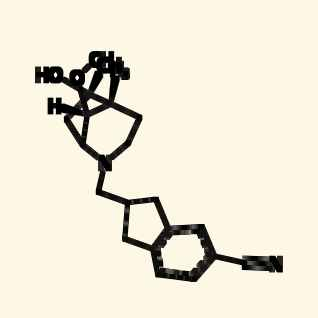 CO[C@H]1C2C[C@](C)(O)[C@@H]1CCN2CC1Cc2ccc(C#N)cc2C1